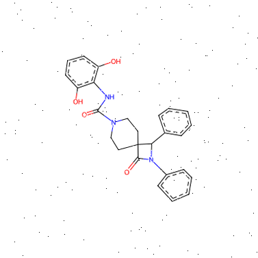 O=C(Nc1c(O)cccc1O)N1CCC2(CC1)C(=O)N(c1ccccc1)C2c1ccccc1